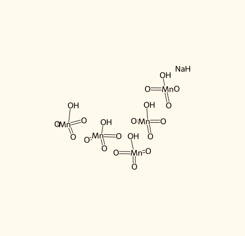 [NaH].[O]=[Mn](=[O])(=[O])[OH].[O]=[Mn](=[O])(=[O])[OH].[O]=[Mn](=[O])(=[O])[OH].[O]=[Mn](=[O])(=[O])[OH].[O]=[Mn](=[O])(=[O])[OH]